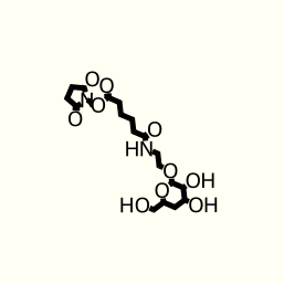 O=C(CCCCC(=O)ON1C(=O)CCC1=O)NCCOC1OC(CO)CC(O)C1O